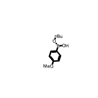 CCCCOB(O)c1ccc(OC)cc1